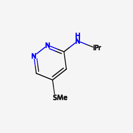 CSc1cnnc(NC(C)C)c1